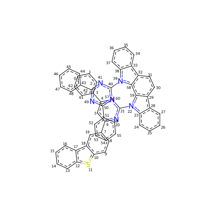 c1ccc(-c2cc(-c3ccc4sc5ccccc5c4c3)nc(-n3c4ccccc4c4ccc5c6ccccc6n(-c6nc(-c7ccccc7)nc(-c7ccccc7)n6)c5c43)n2)cc1